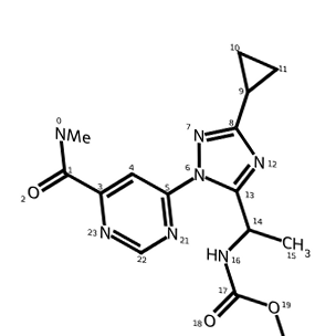 CNC(=O)c1cc(-n2nc(C3CC3)nc2C(C)NC(=O)OC(C)(C)C)ncn1